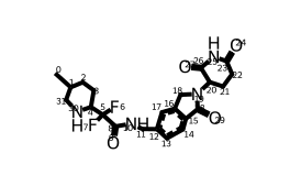 CC1CCC(C(F)(F)C(=O)NCc2ccc3c(c2)CN(C2CCC(=O)NC2=O)C3=O)NC1